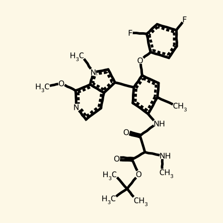 CNC(C(=O)Nc1cc(-c2cn(C)c3c(OC)nccc23)c(Oc2ccc(F)cc2F)cc1C)C(=O)OC(C)(C)C